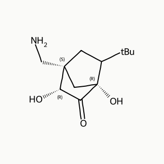 CC(C)(C)C1C[C@@]2(CN)C[C@]1(O)C(=O)[C@@H]2O